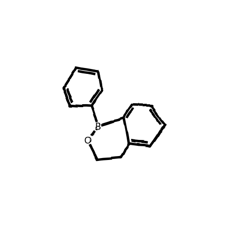 c1ccc(B2OCCc3ccccc32)cc1